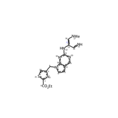 CCOC(=O)c1nc(Cn2ccc3cnc(N/C(C=N)=C/NC)nc32)cs1